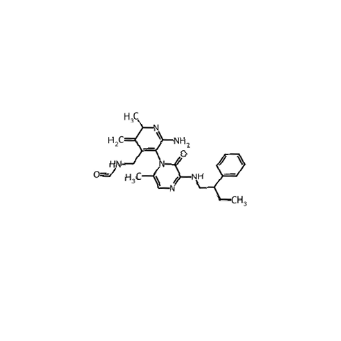 C=C1C(CNC=O)=C(n2c(C)cnc(NCC(CC)c3ccccc3)c2=O)C(N)=NC1C